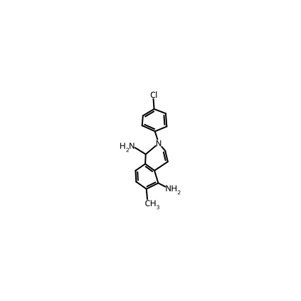 Cc1ccc2c(c1N)C=CN(c1ccc(Cl)cc1)C2N